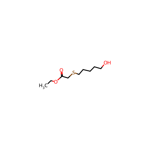 CCOC(=O)CSCCCCCO